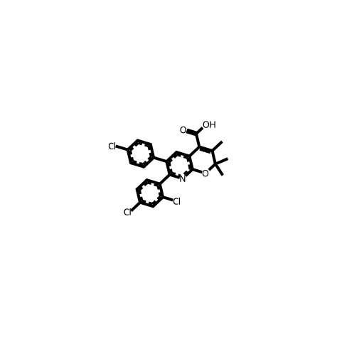 CC1=C(C(=O)O)c2cc(-c3ccc(Cl)cc3)c(-c3ccc(Cl)cc3Cl)nc2OC1(C)C